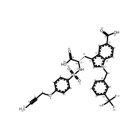 CC#CCOc1ccc(S(=O)(=O)N[C@@H](Cc2cn(Cc3cccc(C(F)(F)F)c3)c3ccc(C(=O)O)cc23)C(=O)O)cc1